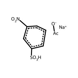 CC(=O)[O-].O=[N+]([O-])c1cccc(S(=O)(=O)O)c1.[Na+]